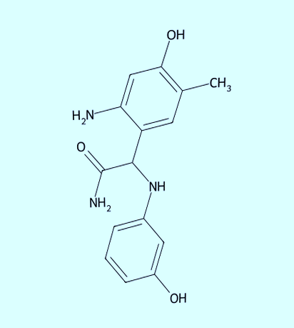 Cc1cc(C(Nc2cccc(O)c2)C(N)=O)c(N)cc1O